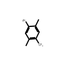 Cc1cc(C(F)(F)F)c(C)cc1C(C)C